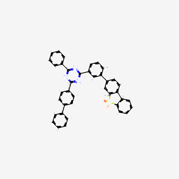 O=S1(=O)c2ccccc2-c2ccc(-c3cccc(-c4nc(-c5ccccc5)nc(-c5ccc(-c6ccccc6)cc5)n4)c3)cc21